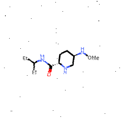 CCC(CC)NC(=O)[C@@H]1CC[C@@H](NOC)CN1